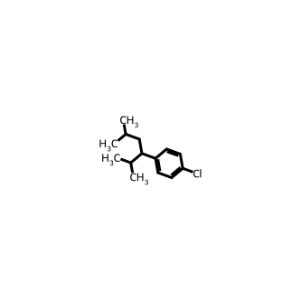 CC(C)CC(c1ccc(Cl)cc1)C(C)C